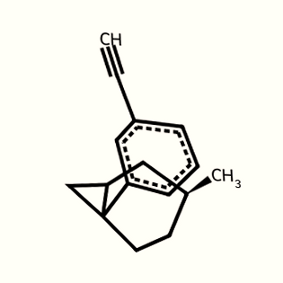 C#Cc1cccc(C23CC[C@H](C)CC2C3)c1